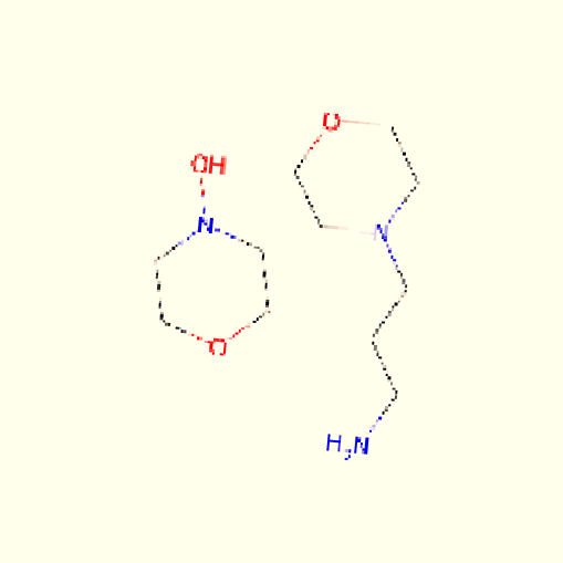 NCCCN1CCOCC1.ON1CCOCC1